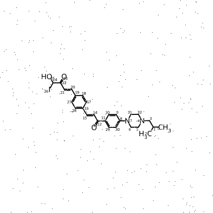 CC(C)CN1CCN(c2ccc(C(=O)/C=C/c3ccc(/C=C/C(=O)C(O)I)cc3)cc2)CC1